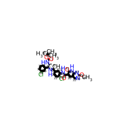 C=C(N[C@H](CNC(=O)OC(C)(C)C)c1cccc(Cl)c1)c1ccc(Cl)c(NC(=O)c2cc3cnc(OC)nc3[nH]c2=O)c1